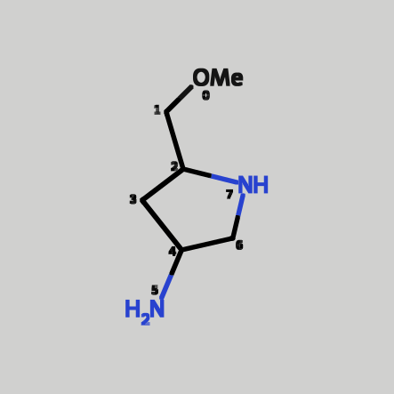 COCC1CC(N)CN1